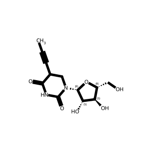 CC#CC1CN([C@@H]2O[C@H](CO)[C@@H](O)[C@@H]2O)C(=O)NC1=O